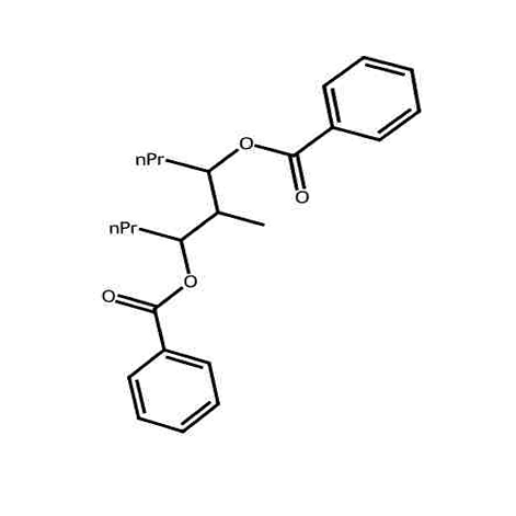 CCCC(OC(=O)c1ccccc1)C(C)C(CCC)OC(=O)c1ccccc1